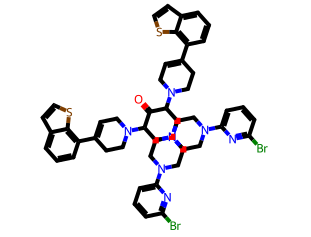 O=C(C(CN1CCN(c2cccc(Br)n2)CC1)N1CC=C(c2cccc3ccsc23)CC1)C(CN1CCN(c2cccc(Br)n2)CC1)N1CC=C(c2cccc3ccsc23)CC1